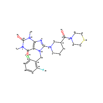 Cn1c(=O)c2c(nc(N3CCCC(C(=O)N4CCSCC4)C3)n2Cc2c(F)cccc2Cl)n(C)c1=O